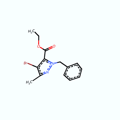 CCOC(=O)c1c(Br)c(C)nn1Cc1ccccc1